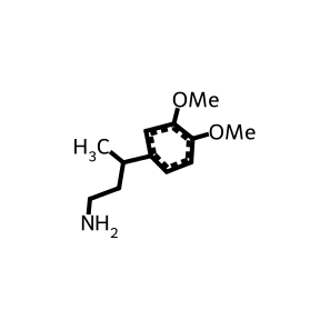 COc1ccc(C(C)CCN)cc1OC